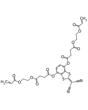 C=CC(=O)OCCOC(=O)CCC(=O)Oc1ccc(OC(=O)CCC(=O)OCCOC(=O)C=C)c2c1SC(=C(C#N)C#N)S2